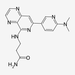 CN(C)c1ccc(-c2cc3nccnc3c(NCCC(N)=O)n2)cn1